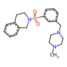 CN1CCN(Cc2cccc(S(=O)(=O)N3CCc4ccccc4C3)c2)CC1